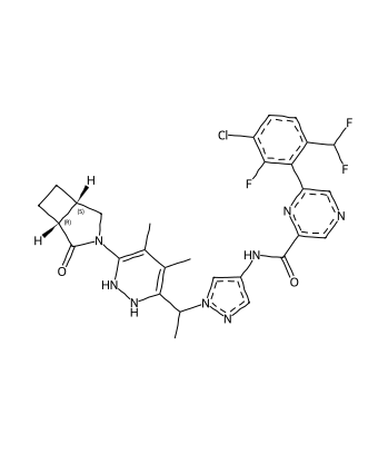 CC1=C(C(C)n2cc(NC(=O)c3cncc(-c4c(C(F)F)ccc(Cl)c4F)n3)cn2)NNC(N2C[C@H]3CC[C@H]3C2=O)=C1C